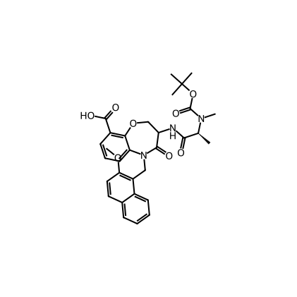 COc1ccc2ccccc2c1CN1C(=O)C(NC(=O)[C@H](C)N(C)C(=O)OC(C)(C)C)COc2c(C(=O)O)cccc21